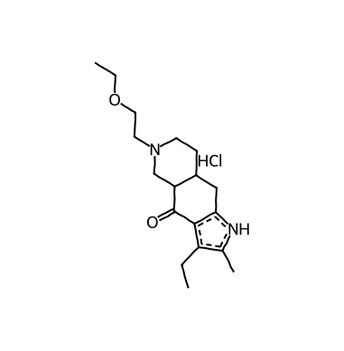 CCOCCN1CCC2Cc3[nH]c(C)c(CC)c3C(=O)C2C1.Cl